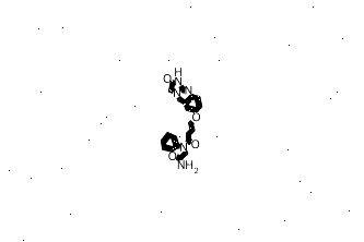 NC(=O)CN(C(=O)CCCOc1ccc2c(c1)CN1CC(=O)NC1=N2)c1ccccc1